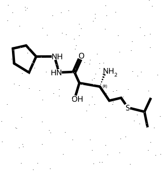 CC(C)SCC[C@@H](N)C(O)C(=O)NNC1CCCC1